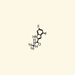 [2H]C([2H])([2H])NC(=O)c1cc2c(F)cc(F)cc2[nH]1